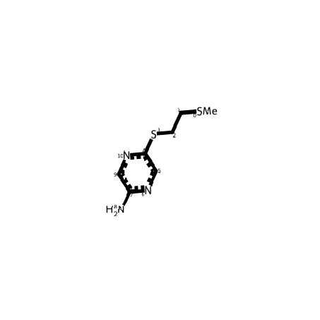 CSCCSc1cnc(N)cn1